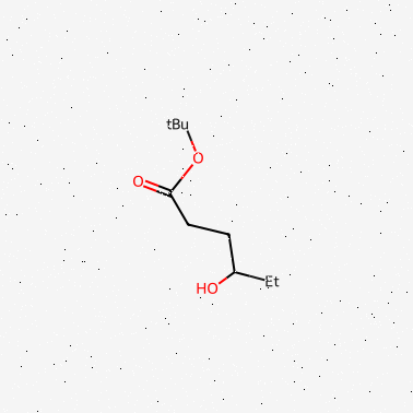 CCC(O)CCC(=O)OC(C)(C)C